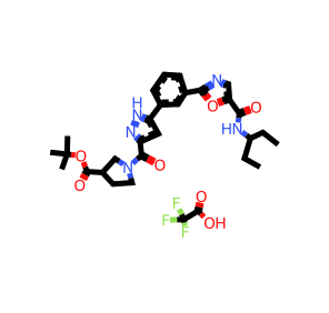 CCC(CC)NC(=O)c1cnc(-c2cccc(-c3cc(C(=O)N4CCC(C(=O)OC(C)(C)C)C4)n[nH]3)c2)o1.O=C(O)C(F)(F)F